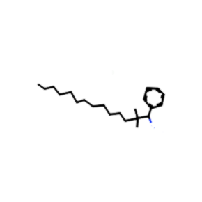 CCCCCCCCCCCCC(C)(C)C(N)c1ccccc1.Cl